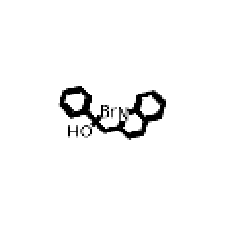 OC(Br)(Cc1ccc2ccccc2n1)c1ccccc1